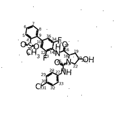 CS(=O)(=O)c1ccccc1-c1cc(F)c(NC(=O)C2CC(O)CN2C(=O)Nc2ccc(Cl)cc2)c(F)c1